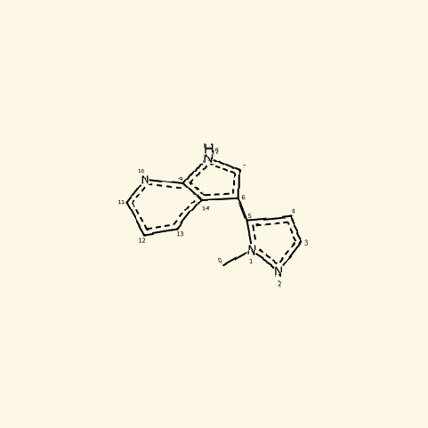 Cn1nccc1-c1c[nH]c2ncccc12